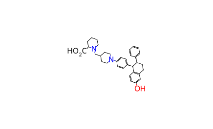 O=C(O)[C@H]1CCCCN1CC1CCN(c2ccc([C@@H]3c4ccc(O)cc4CC[C@@H]3c3ccccc3)cc2)CC1